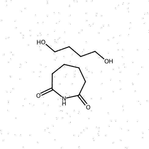 O=C1CCCCC(=O)N1.OCCCCO